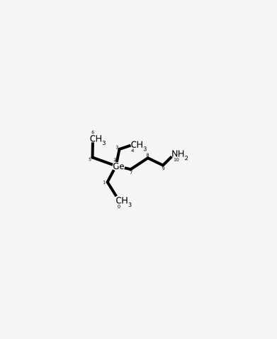 C[CH2][Ge]([CH2]C)([CH2]C)[CH2]CCN